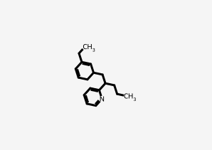 CCCC(CC1C=C(CC)C=CC1)c1ccccn1